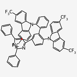 FC(F)(F)c1ccc2c(c1)c1cc(C(F)(F)F)ccc1n2-c1ccccc1-c1cc(-c2cc(-c3ccccc3)nc(-c3ccccc3)n2)ccc1-n1c2ccc(C(F)(F)F)cc2c2cc(C(F)(F)F)ccc21